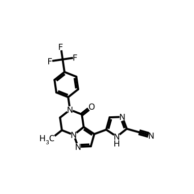 CC1CN(c2ccc(C(F)(F)F)cc2)C(=O)c2c(-c3cnc(C#N)[nH]3)cnn21